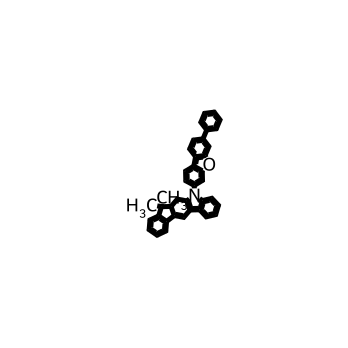 CC1(C)c2ccccc2C2=Cc3c(n(-c4ccc5c(c4)oc4cc(-c6ccccc6)ccc45)c4ccccc34)CC21